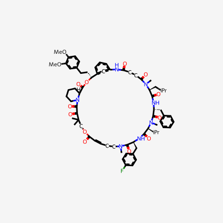 COc1ccc(CC[C@H]2OC(=O)[C@@H]3CCCCN3C(=O)C(=O)C(C)(C)COC(=O)/C=C\CCN(C)C(=O)[C@H](Cc3ccc(F)cc3)NC(=O)[C@H](C(C)C)N(C)C(=O)[C@@H](Cc3ccccc3)NC(=O)[C@H](CC(C)C)N(C)C(=O)CCC(=O)Nc3cccc2c3)cc1OC